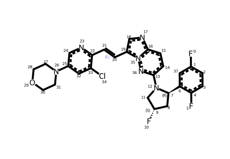 Fc1ccc(F)c([C@H]2C[C@H](F)CN2c2ccc3ncc(/C=C/c4ncc(N5CCOCC5)cc4Cl)n3n2)c1